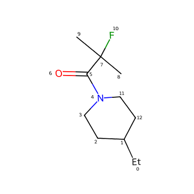 CCC1CCN(C(=O)C(C)(C)F)CC1